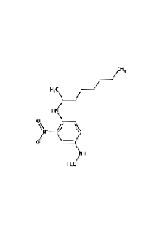 CCCCCCC(C)Nc1ccc(NC)cc1[N+](=O)[O-]